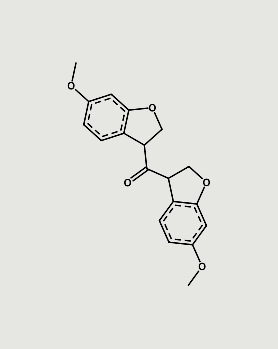 COc1ccc2c(c1)OCC2C(=O)C1COc2cc(OC)ccc21